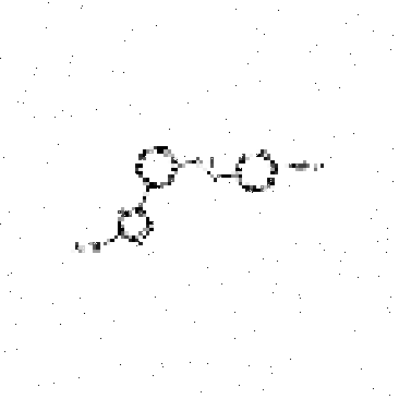 CCCCCCc1ccc(SNc2cccc(-c3csc(NC(C)=O)n3)c2)cc1